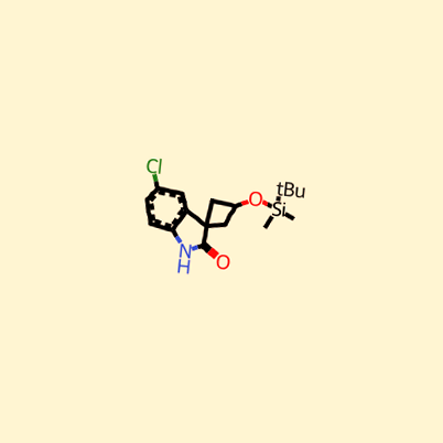 CC(C)(C)[Si](C)(C)OC1CC2(C1)C(=O)Nc1ccc(Cl)cc12